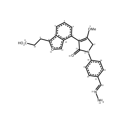 COC1=C(c2cccc3c(CCC(=O)O)occ23)C(=O)N(c2ccc(C=NN)cc2)C1